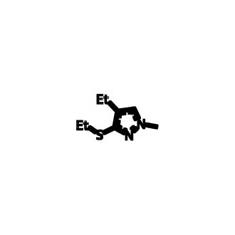 CCSc1nn(C)cc1CC